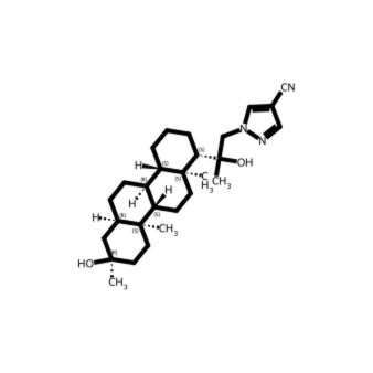 CC(O)(Cn1cc(C#N)cn1)[C@H]1CCC[C@H]2[C@@H]3CC[C@@H]4C[C@](C)(O)CC[C@]4(C)[C@H]3CC[C@]12C